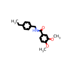 CCc1ccc(CNC(=O)c2ccc(OC)c(OC)c2)cc1